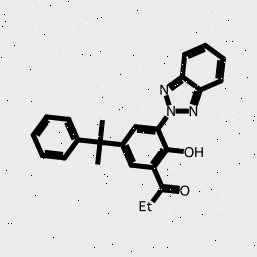 CCC(=O)c1cc(C(C)(C)c2ccccc2)cc(-n2nc3ccccc3n2)c1O